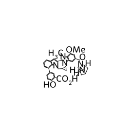 COc1cc(C(=O)N2C[C@H]3CC4C[C@@H]2[C@@]43N)cc2nc(-c3cc4cccc(-c5ccc(O)c(C(=O)O)c5)c4n3CC3CC3)n(C)c12